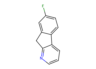 Fc1ccc2c(c1)Cc1ncccc1-2